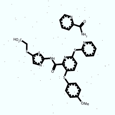 COc1ccc(Sc2ccc(Sc3ccccn3)nc2C(=O)Nc2ncc(SCC(=O)O)s2)cc1.NC(=O)c1ccccn1